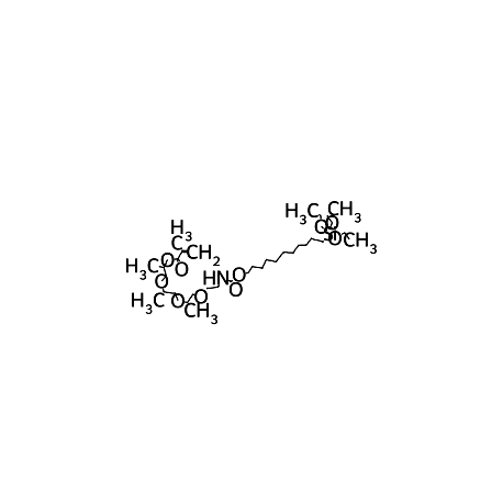 C=C(C)C(=O)OC(C)COC(C)COC(C)COCCNC(=O)OCCCCCCCCCCC[Si](OCC)(OCC)OCC